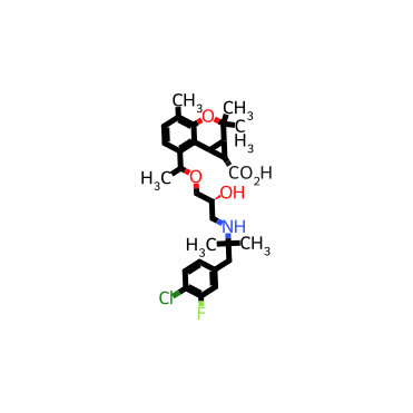 Cc1ccc(C(C)OC[C@H](O)CNC(C)(C)Cc2ccc(Cl)c(F)c2)c2c1OC(C)(C)C1C(C(=O)O)C21